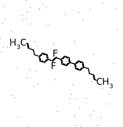 C/C=C/CCc1ccc(/C(F)=C(\F)c2ccc(-c3ccc(CC/C=C/C)cc3)cc2)cc1